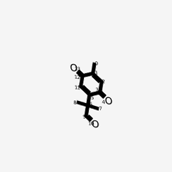 CC1=CC(=O)C(C(C)(C)C=O)=CC1=O